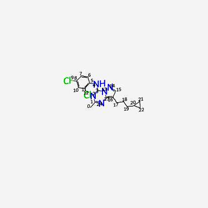 Cc1nc(Nc2ccc(Cl)cc2Cl)n2ncc(CCCC3CC3)c2n1